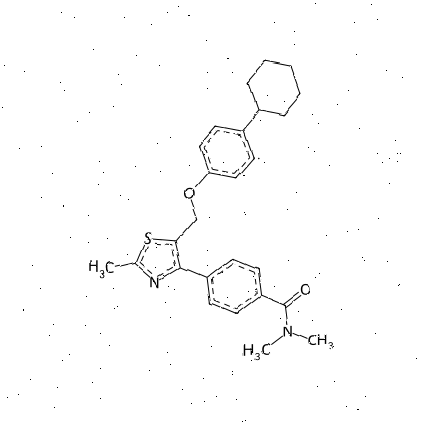 Cc1nc(-c2ccc(C(=O)N(C)C)cc2)c(COc2c[c]c(C3CCCCC3)cc2)s1